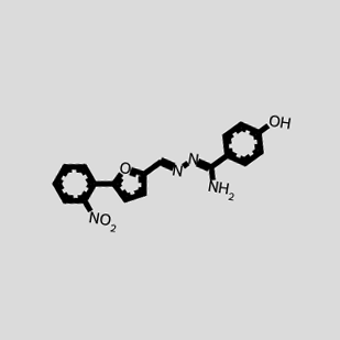 N/C(=N\N=C\c1ccc(-c2ccccc2[N+](=O)[O-])o1)c1ccc(O)cc1